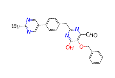 CC(C)(C)c1ncc(-c2ccc(Cc3nc(O)c(OCc4ccccc4)c(C=O)n3)cc2)cn1